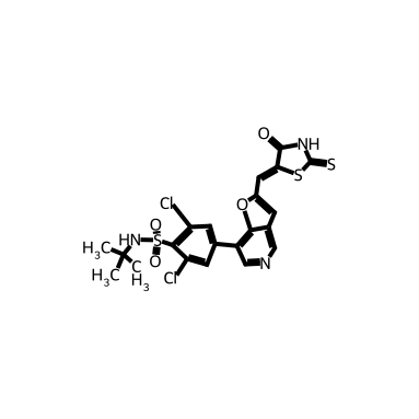 CC(C)(C)NS(=O)(=O)c1c(Cl)cc(-c2cncc3cc(/C=C4\SC(=S)NC4=O)oc23)cc1Cl